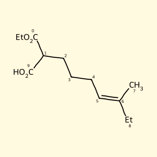 CCOC(=O)C(CCCC=C(C)CC)C(=O)O